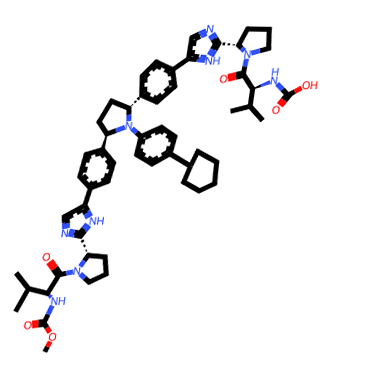 COC(=O)N[C@H](C(=O)N1CCC[C@H]1c1ncc(-c2ccc([C@H]3CC[C@H](c4ccc(-c5cnc([C@@H]6CCCN6C(=O)[C@@H](NC(=O)O)C(C)C)[nH]5)cc4)N3c3ccc(C4CCCCC4)cc3)cc2)[nH]1)C(C)C